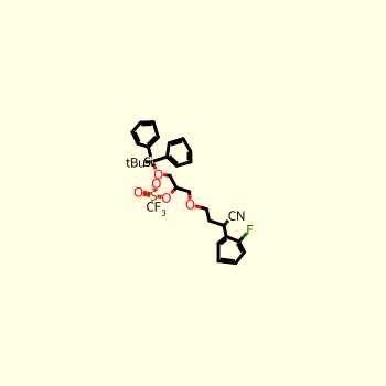 CC(C)(C)[Si](OCC(COCCC(C#N)c1ccccc1F)OS(=O)(=O)C(F)(F)F)(c1ccccc1)c1ccccc1